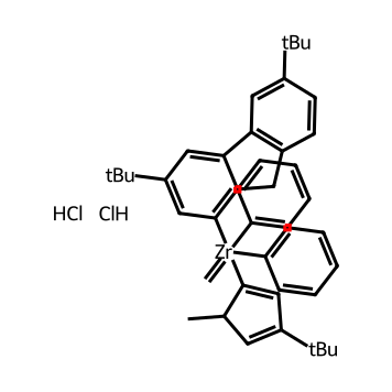 Cl.Cl.[CH2]=[Zr]([C]1=CC(C(C)(C)C)=CC1C)([c]1ccccc1)([c]1ccccc1)[c]1cc(C(C)(C)C)cc2c1Cc1ccc(C(C)(C)C)cc1-2